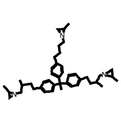 CC(CCc1ccc(C(C)(c2ccc(CCCCN3CC3C)cc2)c2ccc(CCC(C)CN3CC3C)cc2)cc1)CN1CC1C